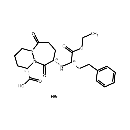 Br.CCOC(=O)[C@H](CCc1ccccc1)N[C@H]1CCC(=O)N2CCC[C@@H](C(=O)O)N2C1=O